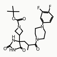 CC(CC1(C2CN(C(=O)OC(C)(C)C)C2)NC(=O)NC1=O)C(=O)N1CCN(c2ccc(F)c(F)c2)CC1